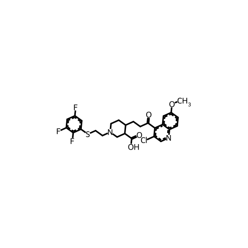 COc1ccc2ncc(Cl)c(C(=O)CCC3CCN(CCSc4cc(F)cc(F)c4F)CC3C(=O)O)c2c1